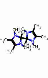 CC1=C(C)N(C)C(C)(C2(C)N(C)C(C)=C(C)N2C)N1C